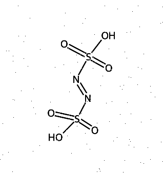 O=S(=O)(O)N=NS(=O)(=O)O